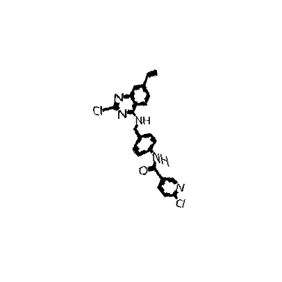 C=Cc1ccc2c(NCc3ccc(NC(=O)c4ccc(Cl)nc4)cc3)nc(Cl)nc2c1